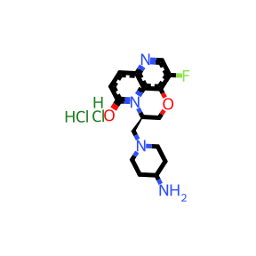 Cl.Cl.NC1CCN(C[C@@H]2COc3c(F)cnc4ccc(=O)n2c34)CC1